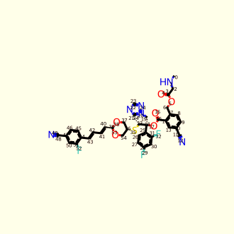 CNCC(=O)OCc1ccc(C#N)cc1C(=O)O[C@@](Cn1cncn1)(c1ccc(F)cc1F)[C@@H](C)S[C@H]1CO[C@H](/C=C/C=C/c2ccc(C#N)cc2F)OC1